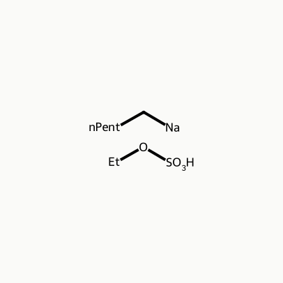 CCCCC[CH2][Na].CCOS(=O)(=O)O